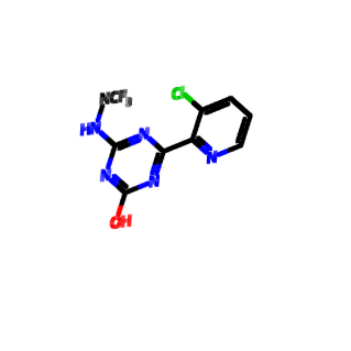 Oc1nc(NNC(F)(F)F)nc(-c2ncccc2Cl)n1